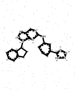 c1cc(Nc2ncc3nnn(C4CCc5ccccc54)c3n2)cc(-c2nnn[nH]2)c1